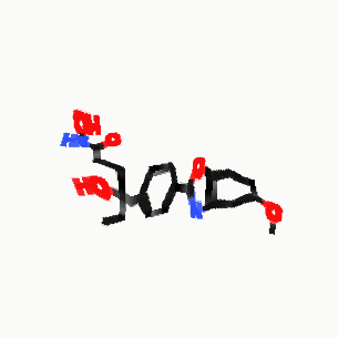 CCC(O)(CCC(=O)NO)c1ccc(-c2nc3cc(OC)ccc3o2)cc1